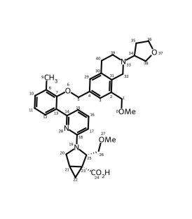 COCc1cc(COc2c(C)cccc2-c2cccc(N3CC4C[C@]4(C(=O)O)[C@H]3COC)n2)cc2c1CN(C1CCOC1)CC2